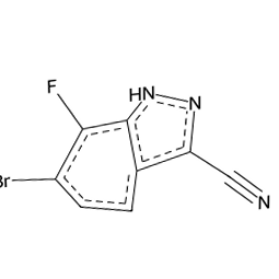 N#Cc1n[nH]c2c(F)c(Br)ccc12